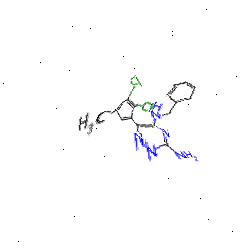 Cc1cc(Cl)c(Cl)c(-c2nnc(N)nc2NCc2ccccc2)c1